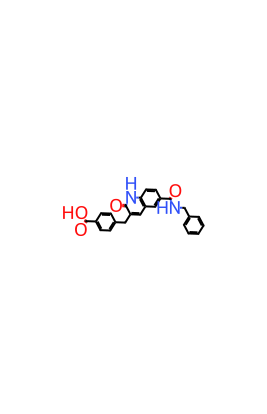 O=C(O)c1ccc(Cc2cc3cc(C(=O)NCc4ccccc4)ccc3[nH]c2=O)cc1